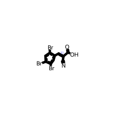 N#C/C(=C\c1cc(Br)c(Br)cc1Br)C(=O)O